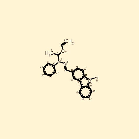 C=COC(C)N(N=Cc1ccc2c(c1)c1ccccc1n2CC)c1ccccc1